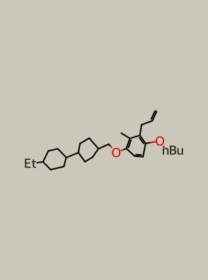 C=CCc1c(OCCCC)ccc(OCC2CCC(C3CCC(CC)CC3)CC2)c1C